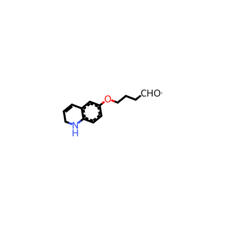 O=[C]CCCOc1ccc2c(c1)C=CCN2